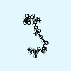 COC[C@H]1CN(C(=O)OC(C)(C)C)[C@H](C)CN1CC(=O)N1CC(C)(C)c2ncc(Cc3ccccc3OCCOCCNC(=O)CN3CCC(c4cc(OC(C)C)c(Nc5ncc(Cl)c(Nc6ccccc6S(=O)(=O)C(C)C)n5)cc4C)CC3)cc21